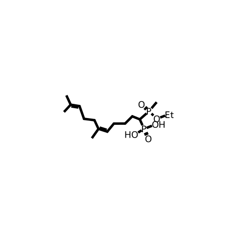 CCOP(C)(=O)C(CCC/C=C(/C)CCC=C(C)C)P(=O)(O)O